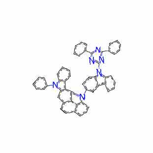 c1ccc(-c2nc(-c3ccccc3)nc(-n3c4ccccc4c4cc(-n5c6cccc7ccc8cc9c(c%10ccccc%10n9-c9ccccc9)c5c8c76)ccc43)n2)cc1